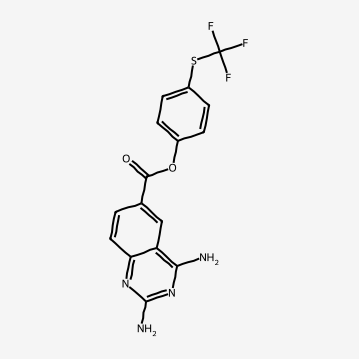 Nc1nc(N)c2cc(C(=O)Oc3ccc(SC(F)(F)F)cc3)ccc2n1